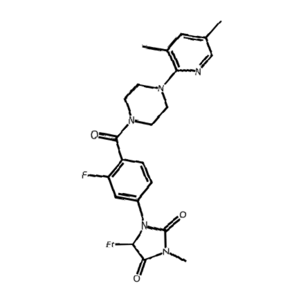 CCC1C(=O)N(C)C(=O)N1c1ccc(C(=O)N2CCN(c3ncc(C)cc3C)CC2)c(F)c1